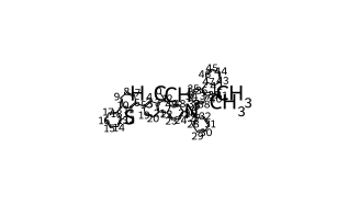 CC1(C)c2cc(-c3cccc4c3sc3ccccc34)ccc2-c2ccc(N(c3ccccc3)c3ccc4c(c3)C(C)(C)C3C=CC=CC43)cc21